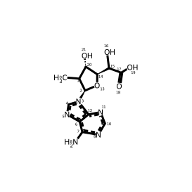 CC1[C@H](n2cnc3c(N)ncnc32)O[C@H](C(O)C(=O)O)[C@H]1O